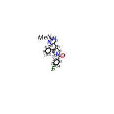 CNc1ncc2c(n1)-c1ccccc1C1(CCN(C(=O)c3ccc(F)cc3)CC1)C2